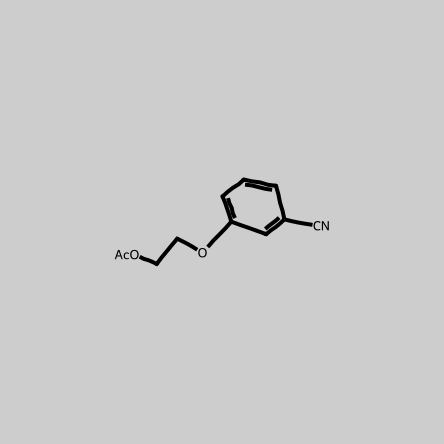 CC(=O)OCCOc1cccc(C#N)c1